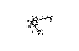 CC(=O)CCCCOC1OC(COP(=O)(O)O)C(O)C(O)C1O